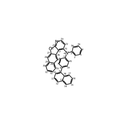 c1ccc(N(c2ccc(-c3cccc4ccccc34)cc2)c2ccnc3oc4cc5ccccc5cc4c23)cc1